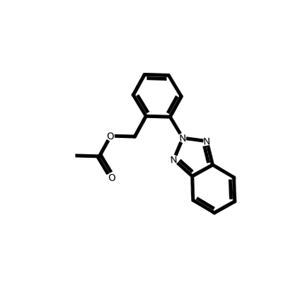 CC(=O)OCc1ccccc1-n1nc2ccccc2n1